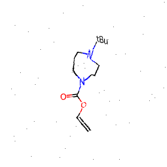 C=COC(=O)N1CCN(C(C)(C)C)CC1